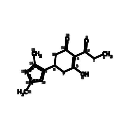 CCC(=O)C1=C(O)CC(c2cn(C)nc2C)CC1=O